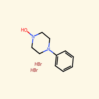 Br.Br.ON1CCN(c2ccccc2)CC1